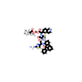 CC(C)(C)C(=O)OCOC(=O)C1=C(/C=C\c2cccnc2)CS[C@H]2[C@H](NC(=O)C(=NOC(c3ccccc3)(c3ccccc3)c3ccccc3)c3csc(N)n3)C(=O)N12